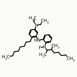 CCCCCCCCc1ccc(N(CC)CC)cc1Nc1ccccc1N(F)C(C)C(C)CCCCC